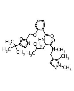 Cc1c(CN(C)C(=O)[C@@H](CC(C)C)NC(=O)c2ccccc2OCc2ncc(C(C)(C)C)o2)cnn1C